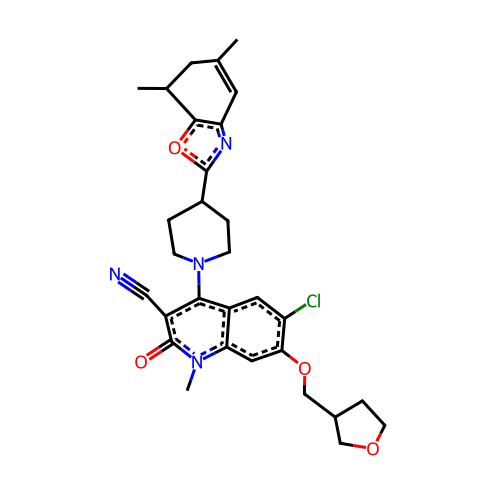 CC1=Cc2nc(C3CCN(c4c(C#N)c(=O)n(C)c5cc(OCC6CCOC6)c(Cl)cc45)CC3)oc2C(C)C1